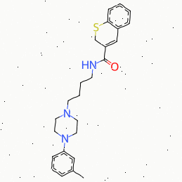 Cc1cccc(N2CCN(CCCCNC(=O)C3=Cc4ccccc4SC3)CC2)c1